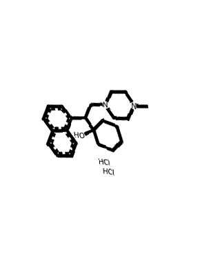 CN1CCN(CC(c2cccc3ccccc23)C2(O)CCCCC2)CC1.Cl.Cl